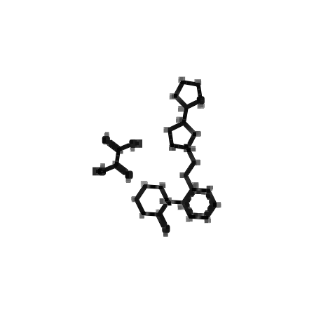 O=C(O)C(=O)O.O=C1CCCCN1c1ccccc1CCN1CCC(C2CCCO2)C1